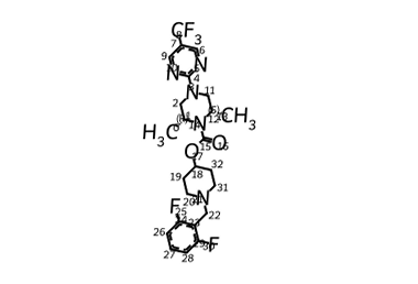 C[C@@H]1CN(c2ncc(C(F)(F)F)cn2)C[C@H](C)N1C(=O)OC1CCN(Cc2c(F)cccc2F)CC1